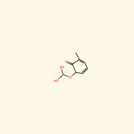 CC1=CC=CC(OB(O)O)C1=S